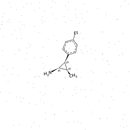 CCc1ccc([C@H]2[C@@H](C)[C@H]2N)cc1